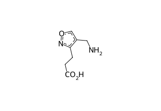 NCc1conc1CCC(=O)O